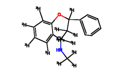 [2H]c1c([2H])c([2H])c(OC([2H])(c2ccccc2)C([2H])([2H])C([2H])([2H])NC([2H])([2H])[2H])c(C)c1[2H]